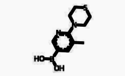 Cc1cc(B(O)O)cnc1N1CCSCC1